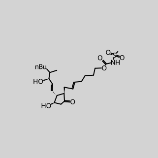 CCCCC(C)[C@H](O)C=C[C@H]1[C@H](O)CC(=O)[C@@H]1CC=CCCCCOC(=O)NS(C)(=O)=O